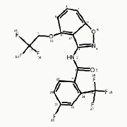 O=C(Nc1noc2cccc(OCC(F)(F)F)c12)c1ccc(F)cc1C(F)(F)F